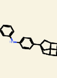 c1ccc(Nc2ccc(C34CC5CC6CC(C3)C65C4)cc2)cc1